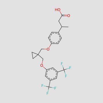 CC(CC(=O)O)c1ccc(OCC2(COc3cc(C(F)(F)F)cc(C(F)(F)F)c3)CC2)cc1